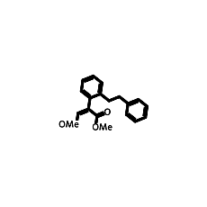 CO/C=C(\C(=O)OC)c1ccccc1CCc1ccccc1